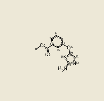 COC(=O)c1cccc(Oc2cnc(N)s2)c1